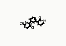 O=c1[nH]cccc1-c1cccc(-c2nc(Cl)ncc2Cl)c1